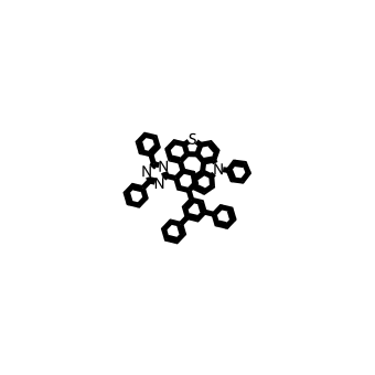 C1=CCCC(c2cc(C3C=CC=CC3)cc(C3CCC(C4=CCCC5SC6C=CC7=C(C8=CC=CCC8N7C7=CCCC=C7)C6C45)C(c4nc(C5=CCCC=C5)nc(C5=CC=CCC5)n4)C3)c2)=C1